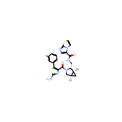 Nc1nc(C(=O)N2C[C@@H]3C[C@@H]3[C@H]2CNC(=O)c2cnc3sccn23)c(-c2cccc(F)c2)s1